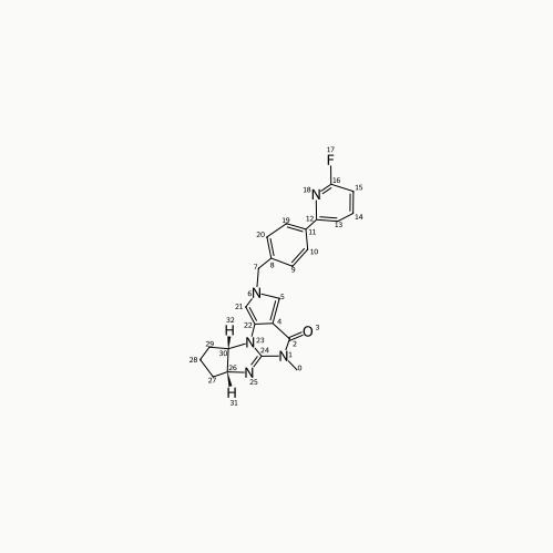 CN1C(=O)c2cn(Cc3ccc(-c4cccc(F)n4)cc3)cc2N2C1=N[C@@H]1CCC[C@@H]12